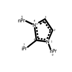 CCCn1cc[n+](CCC)c1C(C)C